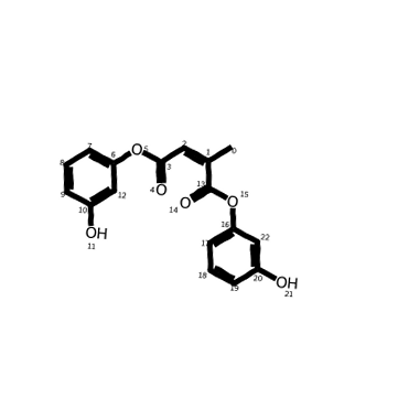 CC(=CC(=O)Oc1cccc(O)c1)C(=O)Oc1cccc(O)c1